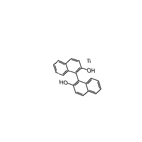 Oc1ccc2ccccc2c1-c1c(O)ccc2ccccc12.[Ti]